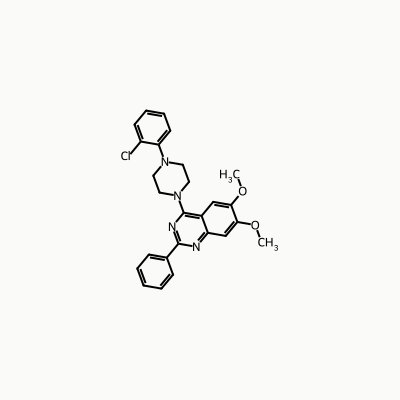 COc1cc2nc(-c3ccccc3)nc(N3CCN(c4ccccc4Cl)CC3)c2cc1OC